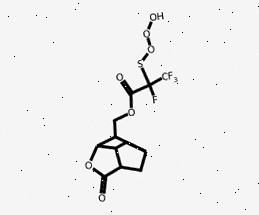 O=C1OC2C(COC(=O)C(F)(SOOO)C(F)(F)F)C3CC1C2C3